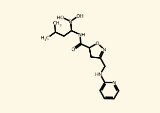 CC(C)CC(NC(=O)C1CC(CNc2ccccn2)=NO1)B(O)O